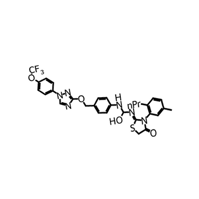 CCCc1ccc(C)cc1N1C(=O)CS/C1=N\C(O)Nc1ccc(COc2ncn(-c3ccc(OC(F)(F)F)cc3)n2)cc1